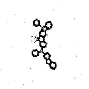 CC1(C)c2cc(N(c3ccccc3)c3ccc4c(c3)Cc3ccccc3-4)ccc2-c2cc3c4ccccc4n(-c4ccccc4)c3cc21